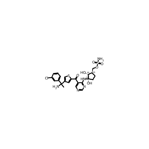 CC(N)(c1cccc(Cl)c1)c1csc(C(=O)c2cncnc2N[C@]2(O)CC[C@H](COS(N)(=O)=O)[C@H]2O)c1